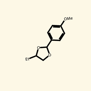 CCC1COC(c2ccc(OC)cc2)O1